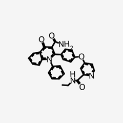 CCNC(=O)c1cc(Oc2ccc(-c3c(C(N)=O)c(=O)c4ccccc4n3-c3ccccc3)cc2)ccn1